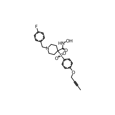 CC#CCOc1ccc(S(=O)(=O)C2(C(=O)NO)CCN(Cc3ccc(F)cc3)CC2)cc1